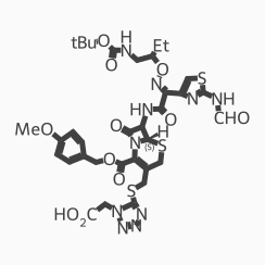 CCC(CNC(=O)OC(C)(C)C)ON=C(C(=O)NC1C(=O)N2C(C(=O)OCc3ccc(OC)cc3)=C(CSc3nnnn3CC(=O)O)CS[C@@H]12)c1csc(NC=O)n1